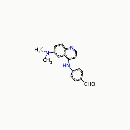 CN(C)c1ccc2nccc(Nc3ccc(C=O)cc3)c2c1